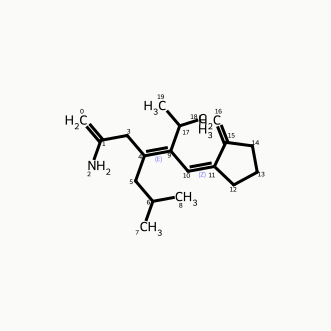 C=C(N)C/C(CC(C)C)=C(/C=C1/CCCC1=C)C(C)C